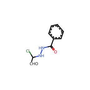 O=CC(Cl)NNC(=O)c1ccccc1